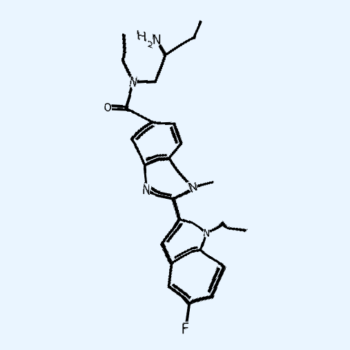 CCC(N)CN(CC)C(=O)c1ccc2c(c1)nc(-c1cc3cc(F)ccc3n1CC)n2C